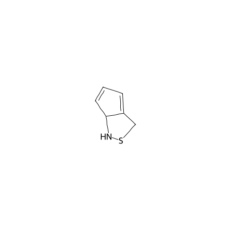 C1=CC2NSCC2=C1